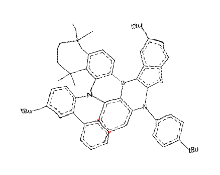 Cc1cc2c3c(c1)N(c1ccc(C(C)(C)C)cc1-c1ccccc1)c1c(ccc4c1C(C)(C)CCC4(C)C)B3c1c(sc3ccc(C(C)(C)C)cc13)N2c1ccc(C(C)(C)C)cc1